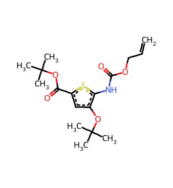 C=CCOC(=O)Nc1sc(C(=O)OC(C)(C)C)cc1OC(C)(C)C